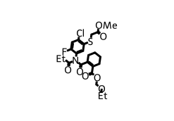 CCOCOC(=O)C1=C(C(=O)N(C(=O)CC)c2cc(SCC(=O)OC)c(Cl)cc2F)CCCC1